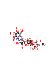 C[C@H]1O[C@H](O[C@]23C[C@]2(CO)O[C@H](O[C@@H]([C@H](O)[C@@H](O)C=O)[C@H](O)CO)[C@H](O)[C@H]3O)[C@H](O)[C@@H](O)[C@@H]1N[C@H]1C=C(CO)[C@@H](O)[C@H](O)[C@H]1O